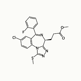 COC(=O)CC[C@@H]1N=C(c2ccccc2F)c2cc(Cl)ccc2-n2c(SC)nnc21